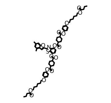 CCCC(=O)OCCCCCCOc1ccc(OC(=O)C2CCC(C(=O)Oc3ccc(OC(=O)C4CCC(C(=O)Oc5ccc(OCCCCCCOC(=O)CCC)cc5)CC4)c4sc(-c5cc6c(C)cc(C)cc6o5)nc34)CC2)cc1